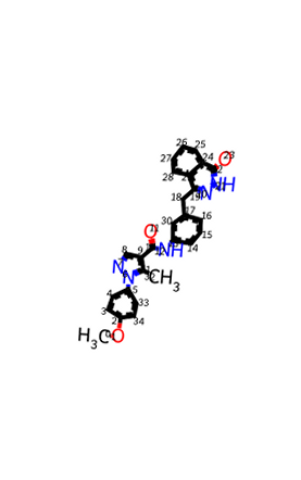 COc1ccc(-n2ncc(C(=O)Nc3cccc(Cc4n[nH]c(=O)c5ccccc45)c3)c2C)cc1